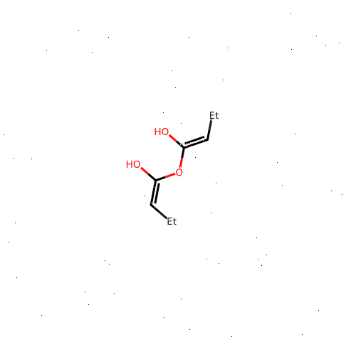 CCC=C(O)OC(O)=CCC